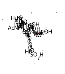 CC(=O)N[C@H](CCCCNC(=O)COC1CCCCCc2c1nnn2CCOCCOCCOCCOCCC(=O)NCCS(=O)(=O)O)C(=O)N[C@H](C(=O)N[C@@H](CCCNC(N)=O)C(=O)Nc1ccc(COC(=O)N[C@@H](CCO)C(=O)Nc2ccc3c(c2)[C@@]2(C)CCC[C@](C)(C(=O)NC(=O)[C@@]4(C)CCC[C@]5(C)c6cc(O)ccc6CC[C@@H]45)[C@@H]2CC3)cc1)C(C)C